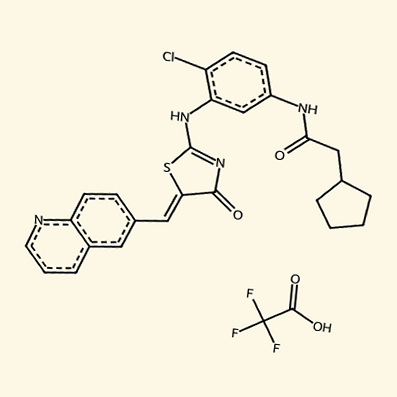 O=C(CC1CCCC1)Nc1ccc(Cl)c(NC2=NC(=O)/C(=C/c3ccc4ncccc4c3)S2)c1.O=C(O)C(F)(F)F